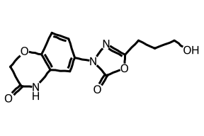 O=C1COc2ccc(-n3nc(CCCO)oc3=O)cc2N1